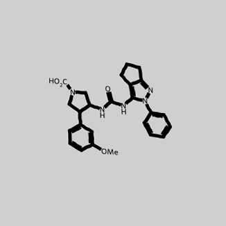 COc1cccc(C2CN(C(=O)O)CC2NC(=O)Nc2c3c(nn2-c2ccccc2)CCC3)c1